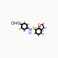 O=Cc1ccc(NSc2cccc3c2OCC3)cc1